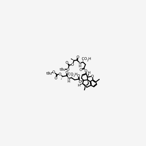 Cc1ccc2c3c1O[C@H]1C(OC(=O)C[C@H](NC(=O)[C@H](C)OC(=O)OC(C)(C)C)C(=O)O)=CC[C@@]4(OC(=O)C[C@H](NC(=O)[C@H](C)OC(=O)OC(C)(C)C)C(=O)O)[C@@H](C2)N(C)CC[C@]314